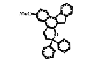 COc1ccc2c3c(c4c(c2c1)C=CC(c1ccccc1)(c1ccccc1)O4)Cc1ccccc1-3